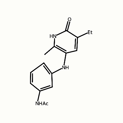 CCc1cc(Nc2cccc(NC(C)=O)c2)c(C)[nH]c1=O